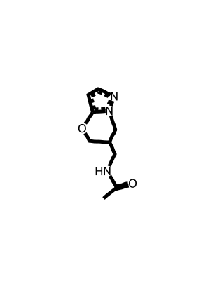 CC(=O)NCC1COc2ccnn2C1